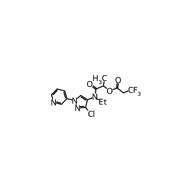 CCN(C(=O)C(C)OC(=O)CC(F)(F)F)c1cn(-c2cccnc2)nc1Cl